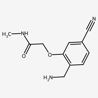 CNC(=O)COc1cc(C#N)ccc1CN